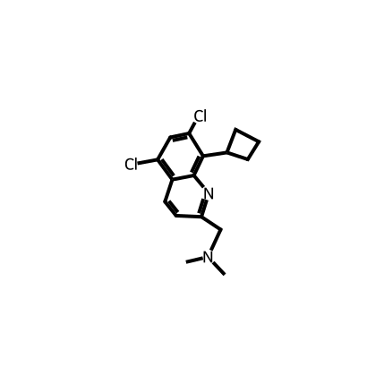 CN(C)Cc1ccc2c(Cl)cc(Cl)c(C3CCC3)c2n1